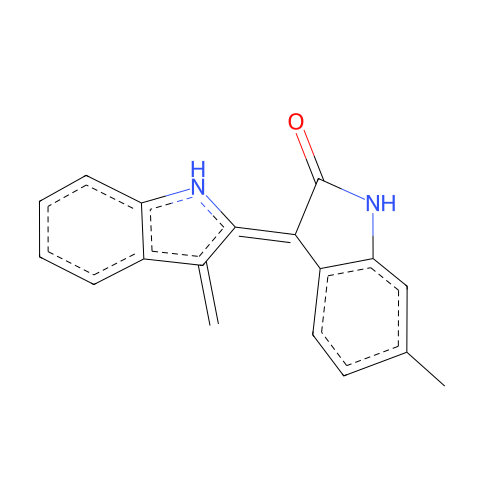 C=c1/c(=C2/C(=O)Nc3cc(C)ccc32)[nH]c2ccccc12